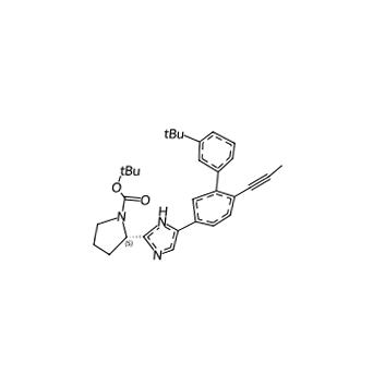 CC#Cc1ccc(-c2cnc([C@@H]3CCCN3C(=O)OC(C)(C)C)[nH]2)cc1-c1cccc(C(C)(C)C)c1